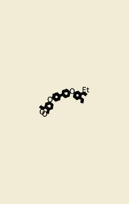 C=Cc1ccc(OC2C=CC(c3ccc(OC4=CC5=C(CC4)COOC5=C)cc3)=CC2)cc1C(=C)CC